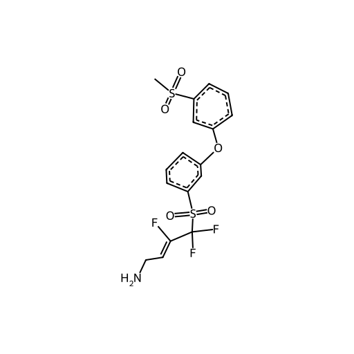 CS(=O)(=O)c1cccc(Oc2cccc(S(=O)(=O)C(F)(F)/C(F)=C/CN)c2)c1